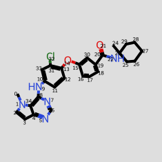 Cn1ccc2ncnc(Nc3ccc(Oc4cccc(C(=O)NC5(C)CCCCC5)c4)c(Cl)c3)c21